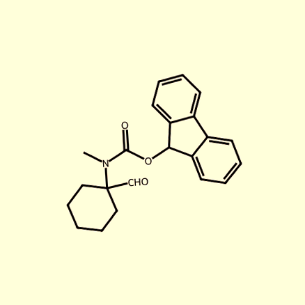 CN(C(=O)OC1c2ccccc2-c2ccccc21)C1(C=O)CCCCC1